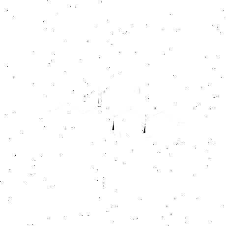 CCCC(=O)[C@H](O)[C@H](O)[C@H](O)CO